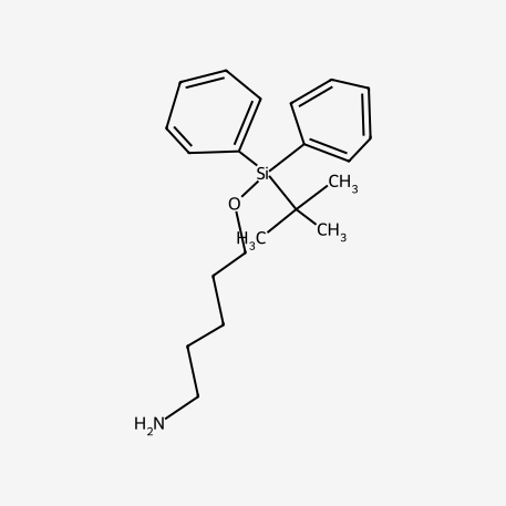 CC(C)(C)[Si](OCCCCCN)(c1ccccc1)c1ccccc1